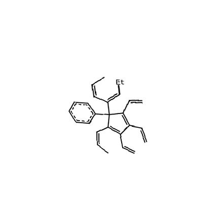 C=CC1=C(C=C)C(C(/C=C\C)=C/CC)(c2ccccc2)C(/C=C\C)=C1C=C